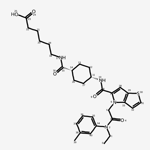 CCN(C(=O)Cn1c(C(=O)N[C@H]2CC[C@@H](C(=O)NCCCCCC(=O)O)CC2)cc2sccc21)c1cccc(C)c1